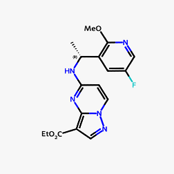 CCOC(=O)c1cnn2ccc(N[C@H](C)c3cc(F)cnc3OC)nc12